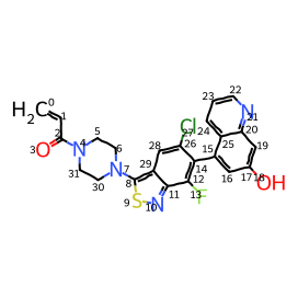 C=CC(=O)N1CCN(c2snc3c(F)c(-c4cc(O)cc5ncccc45)c(Cl)cc23)CC1